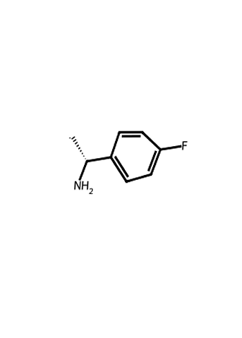 [CH2][C@@H](N)c1ccc(F)cc1